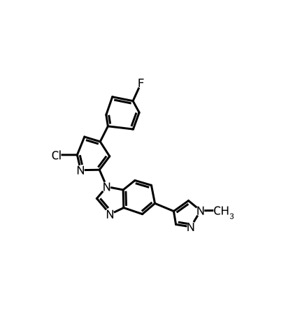 Cn1cc(-c2ccc3c(c2)ncn3-c2cc(-c3ccc(F)cc3)cc(Cl)n2)cn1